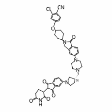 N#Cc1ccc(O[C@H]2CC[C@H](N3Cc4cc(N5CCN(C[C@@H]6CCN(c7ccc8c(c7)C(=O)C(C7CCC(=O)NC7=O)C8=O)C6)CC5)ccc4C3=O)CC2)cc1Cl